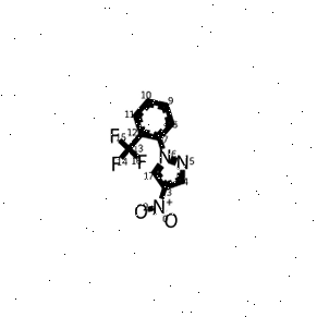 O=[N+]([O-])c1cnn(-c2ccccc2C(F)(F)F)c1